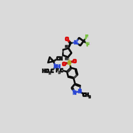 Cn1cc(-c2ccc(S(=O)(=O)[C@@H]3CC[C@@H](C(=O)N4CC(F)(F)C4)C3)c(C(F)(F)F)c2)cn1.N#CC1(NC(=O)O)CC1